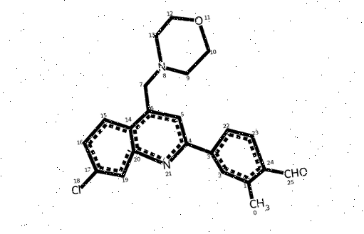 Cc1cc(-c2cc(CN3CCOCC3)c3ccc(Cl)cc3n2)ccc1C=O